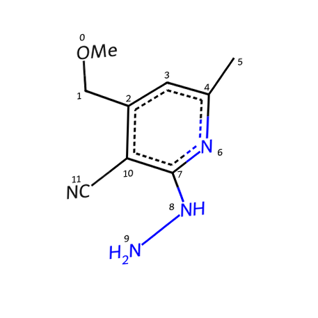 COCc1cc(C)nc(NN)c1C#N